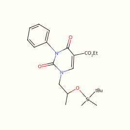 CCOC(=O)c1cn(CC(C)O[Si](C)(C)C(C)(C)C)c(=O)n(-c2ccccc2)c1=O